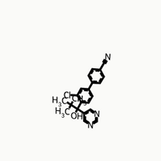 CC(C)(C)C(O)(c1cncnc1)c1ccc(-c2ccc(C#N)cc2)cc1Cl